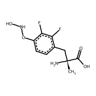 C[C@@](N)(Cc1ccc(OBO)c(F)c1F)C(=O)O